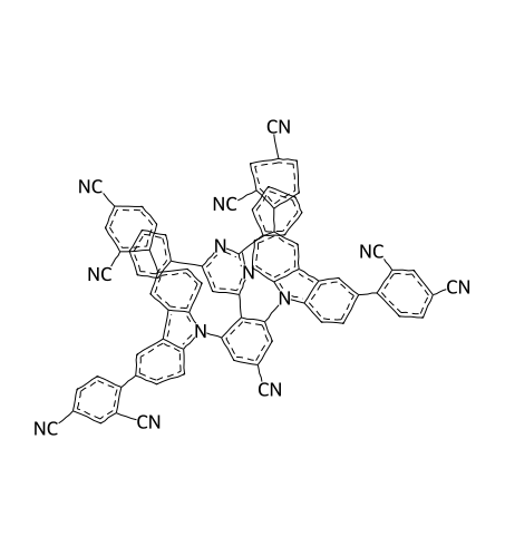 N#Cc1ccc(-c2ccc3c(c2)c2cc(-c4ccc(C#N)cc4C#N)ccc2n3-c2cc(C#N)cc(-n3c4ccc(-c5ccc(C#N)cc5C#N)cc4c4cc(-c5ccc(C#N)cc5C#N)ccc43)c2-c2cc(-c3ccccc3)nc(-c3ccccc3)n2)c(C#N)c1